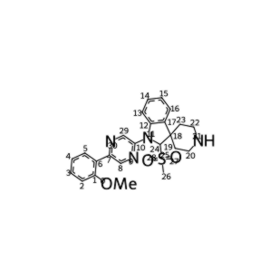 COc1ccccc1-c1cnc(N2c3ccccc3C3(CCNCC3)C2S(C)(=O)=O)cn1